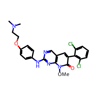 COn1c(=O)c(-c2c(Cl)cccc2Cl)cc2cnc(Nc3ccc(OCCN(C)C)cc3)nc21